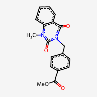 COC(=O)c1ccc(Cn2c(=O)c3ccccc3n(C)c2=O)cc1